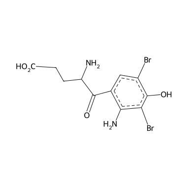 Nc1c(C(=O)C(N)CCC(=O)O)cc(Br)c(O)c1Br